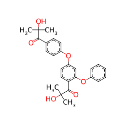 CC(C)(O)C(=O)c1ccc(Oc2ccc(C(=O)C(C)(C)O)c(Oc3ccccc3)c2)cc1